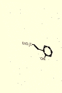 CCOC(=O)/C=C/c1ccccc1N=O